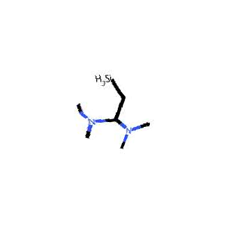 CN(C)C(C[SiH3])N(C)C